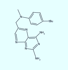 CN(Cc1cnc2nc(N)nc(N)c2n1)c1ccc(C(C)(C)C)cc1